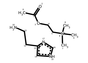 CC(=O)OCC[N+](C)(C)C.NCCc1c[nH]cn1